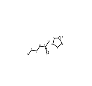 C1CCOC1.CCCCC(C)=O